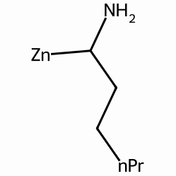 CCCCC[CH](N)[Zn]